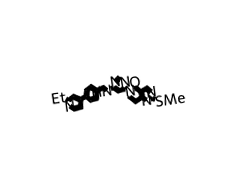 CCc1cc(-c2ccc(CNc3cc(N4CCc5nc(SC)ncc5C4=O)ncn3)cc2)ccn1